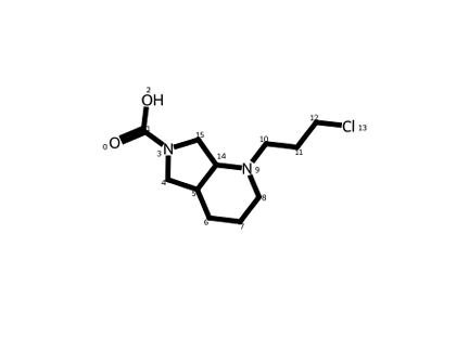 O=C(O)N1CC2CCCN(CCCCl)C2C1